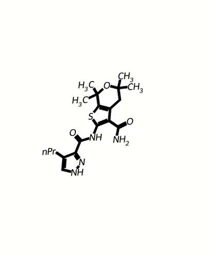 CCCc1c[nH]nc1C(=O)Nc1sc2c(c1C(N)=O)CC(C)(C)OC2(C)C